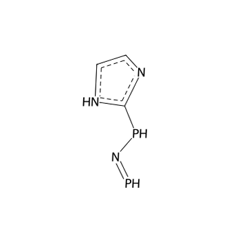 P=NPc1ncc[nH]1